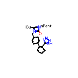 CCCCCn1cc(C(C)CC)n(Cc2ccc(-c3ccccc3-c3nnn[nH]3)cc2)c1=O